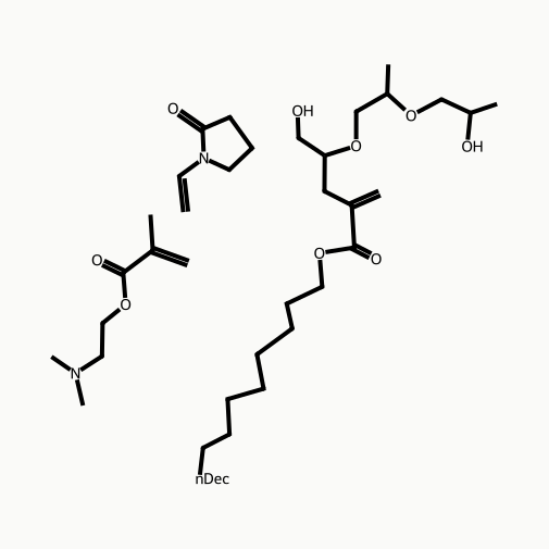 C=C(C)C(=O)OCCN(C)C.C=C(CC(CO)OCC(C)OCC(C)O)C(=O)OCCCCCCCCCCCCCCCCCC.C=CN1CCCC1=O